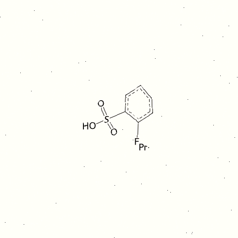 O=S(=O)(O)c1ccccc1F.[Pr]